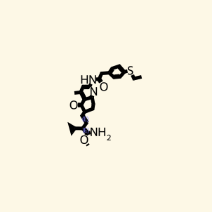 CCSc1ccc(CC(=O)Nc2cc(C)c3c(n2)CCC(/C=C/C(=C(\N)OC)C2CC2)C3=O)cc1